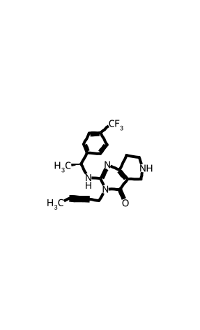 CC#CCn1c(N[C@@H](C)c2ccc(C(F)(F)F)cc2)nc2c(c1=O)CNCC2